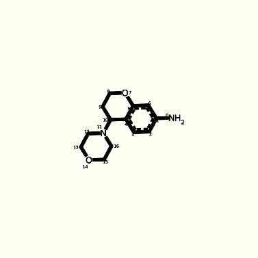 Nc1ccc2c(c1)OCCC2N1CCOCC1